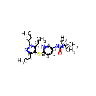 CCCn1nc(CC)c(Sc2ccc(NC(=O)C(C)(C)C)cn2)c1CC